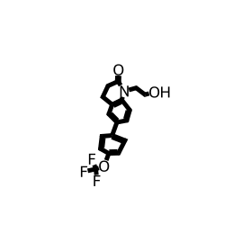 O=C1CCc2cc(-c3ccc(OC(F)(F)F)cc3)ccc2N1CCO